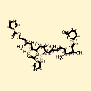 CC(=C/[C@H](C)C/C=C/C(C)=C/[C@@H](C)C(=O)[C@@H](C)[C@H](OC(=O)n1ccnc1)[C@@H](C)C/C(C)=C/COC(=O)n1ccnc1)/C=C/[C@H]1CC=CC(=O)O1